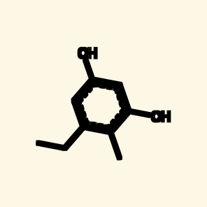 CCc1cc(O)cc(O)c1C